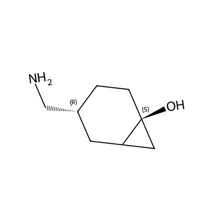 NC[C@@H]1CC[C@]2(O)CC2C1